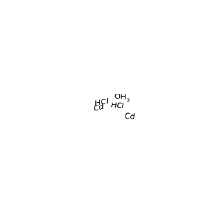 Cl.Cl.O.[Cd].[Cd]